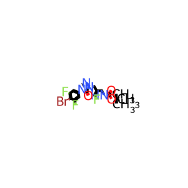 CC(C)(C)OC(=O)NCC(=CF)Cn1ncn(-c2cc(F)c(Br)c(F)c2)c1=O